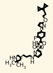 CC1(C)C[C@H](CCCNc2cccc(S(=O)(=O)NC(=O)c3ccc(-n4ccc(OCCC5C6(CC6)C56CC6)n4)cc3F)n2)CN1